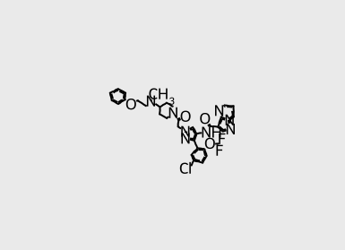 CN(CCOc1ccccc1)C1CCN(C(=O)Cn2cc(NC(=O)c3cnn4cccnc34)c(-c3cc(Cl)ccc3OC(F)F)n2)CC1